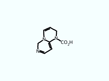 O=C(O)N1CC=CN2CN=CC=C21